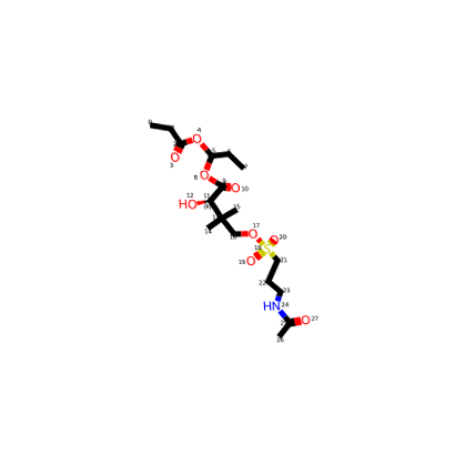 CCC(=O)OC(CC)OC(=O)[C@H](O)C(C)(C)COS(=O)(=O)CCCNC(C)=O